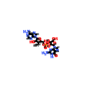 CCCC1C(COP(=O)(O)OC2C(O)C(O)OC2n2cnc3c(=O)[nH]c(N)nc32)OC(n2cnc3c(N)ncnc32)C1O